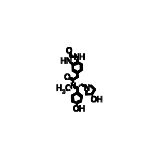 CN(C(=O)Cc1ccc2[nH]c(=O)[nH]c2c1)[C@H](CN1CC[C@H](O)C1)c1ccc(O)cc1